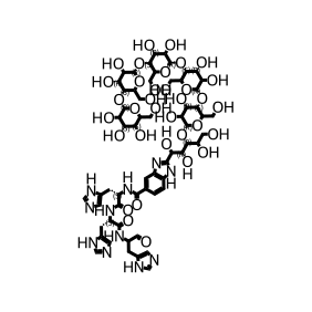 O=CC(Cc1cnc[nH]1)NC(=O)[C@H](Cc1cnc[nH]1)NC(=O)[C@H](Cc1cnc[nH]1)NC(=O)c1ccc2[nH]c(C(O)[C@@H](O)[C@H](O[C@H]3OC(CO)[C@@H](O[C@H]4OC(CO)[C@@H](O[C@H]5OC(CO)[C@@H](O[C@H]6OC(CO)[C@@H](O[C@H]7OC(CO)[C@@H](O)[C@H](O)C7O)[C@H](O)C6O)[C@H](O)C5O)[C@H](O)C4O)[C@H](O)C3O)C(O)CO)nc2c1